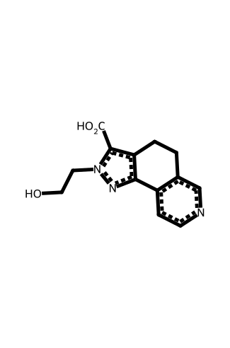 O=C(O)c1c2c(nn1CCO)-c1ccncc1CC2